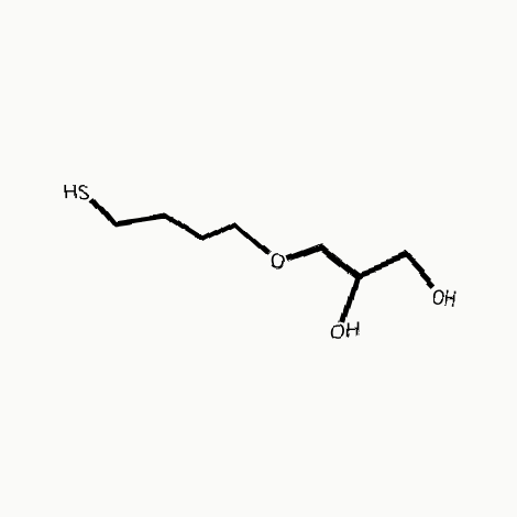 OCC(O)COCCCCS